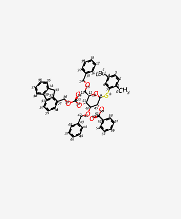 Cc1ccc(C(C)(C)C)cc1S[C@@H]1O[C@H](COCc2ccccc2)[C@@H](OC(=O)OCc2cccc3c2Cc2ccccc2-3)[C@H](OCc2ccccc2)[C@H]1OC(=O)c1ccccc1